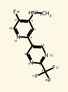 CNc1cc(-c2cnc(C(F)(F)F)nc2)ncc1F